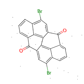 O=c1c2cc(Br)c3cccc4c(=O)c5cc(Br)c6cccc1c6c5-c2c34